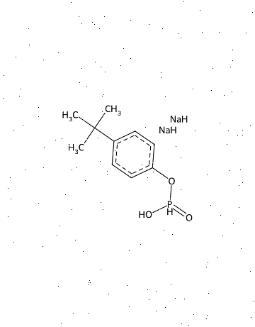 CC(C)(C)c1ccc(O[PH](=O)O)cc1.[NaH].[NaH]